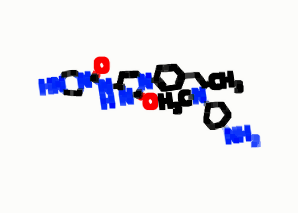 CC(Cc1ccc(-n2ccc(NC(=O)N3CCNCC3)nc2=O)cc1)N(C)[C@H]1CC[C@@H](N)CC1